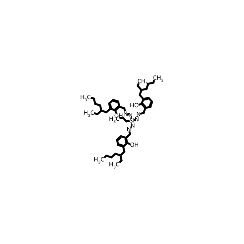 CCCCC(CC)Cc1cccc(C/N=N/[Si](CCC)(/N=N/Cc2cccc(CC(CC)CCCC)c2O)/N=N/Cc2cccc(CC(CC)CCCC)c2O)c1O